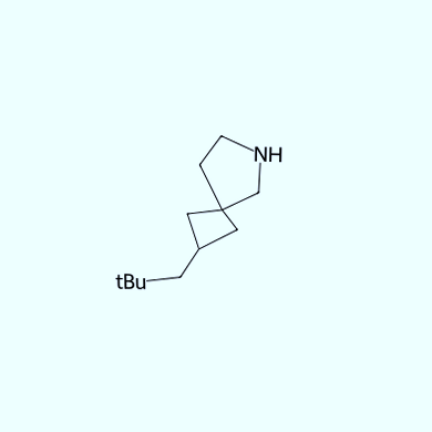 CC(C)(C)CC1CC2(CCNC2)C1